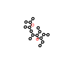 O=C(c1cc(-c2ccccc2)cc(-c2ccccc2)c1)c1cc(-c2ccccc2)cc(-c2ccc(-c3cc(-c4ccccc4)cc(-c4cc(C(=O)c5cc(-c6cccc(-c7ccccc7)c6)cc(-c6cccc(-c7ccccc7)c6)c5)cc(-c5cccc(-c6ccccc6)c5)c4)c3)cc2)c1